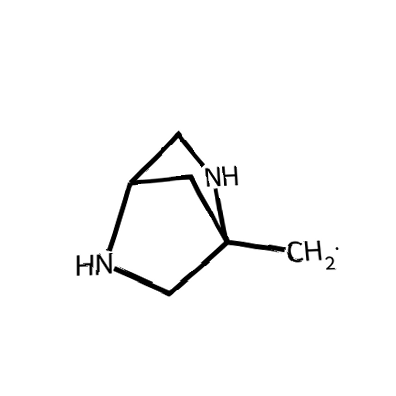 [CH2]C12CNC(CN1)C2